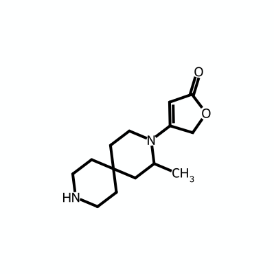 CC1CC2(CCNCC2)CCN1C1=CC(=O)OC1